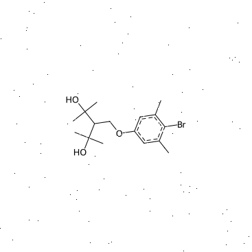 Cc1cc(OCC(C(C)(C)O)C(C)(C)O)cc(C)c1Br